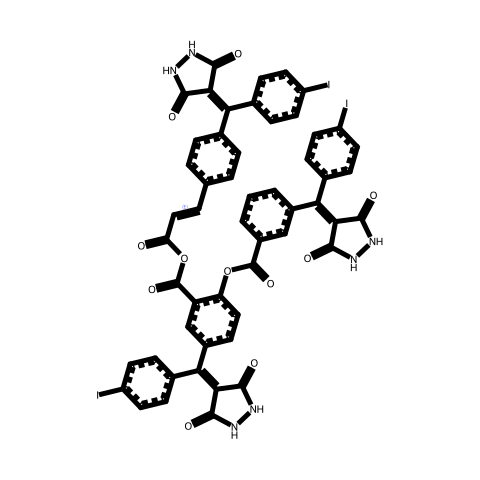 O=C(/C=C/c1ccc(C(=C2C(=O)NNC2=O)c2ccc(I)cc2)cc1)OC(=O)c1cc(C(=C2C(=O)NNC2=O)c2ccc(I)cc2)ccc1OC(=O)c1cccc(C(=C2C(=O)NNC2=O)c2ccc(I)cc2)c1